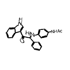 CC(=O)Nc1ccc(NC(C(=O)c2c[nH]c3ccccc23)c2ccccc2)cc1